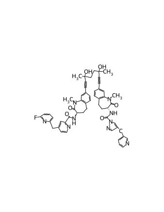 CN1C(=O)[C@H](NC(=O)c2cc(Cc3cccc(F)n3)ccn2)CCc2ccc(C#CC(C)(O)CCC(C)(O)C#Cc3ccc4c(c3)N(C)C(=O)[C@H](NC(=O)n3cc(Cc5cccnc5)cn3)CC4)cc21